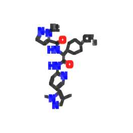 CCn1nccc1C(=O)NC(C(=O)Nc1ccc(-c2c(C)cnn2C)cn1)C1CCC(C(F)(F)F)CC1